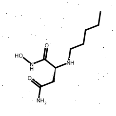 CCCCCN[C@@H](CC(N)=O)C(=O)NO